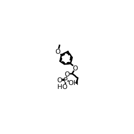 CCC(Oc1ccc(OC)cc1)OP(=O)(O)O